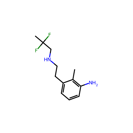 Cc1c(N)cccc1CCNCC(C)(F)F